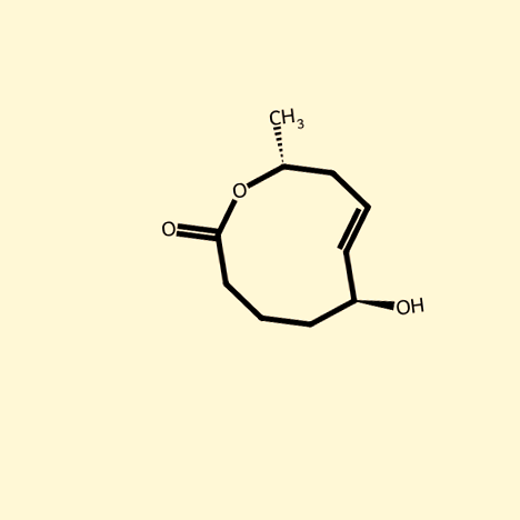 C[C@@H]1C/C=C/[C@@H](O)CCCC(=O)O1